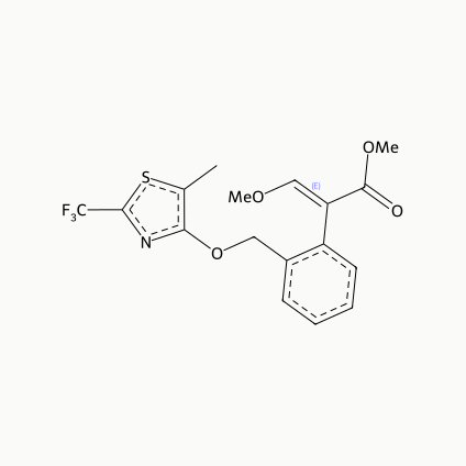 CO/C=C(/C(=O)OC)c1ccccc1COc1nc(C(F)(F)F)sc1C